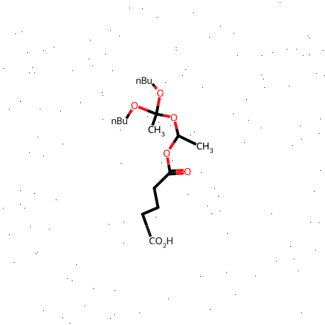 CCCCOC(C)(OCCCC)OC(C)OC(=O)CCCC(=O)O